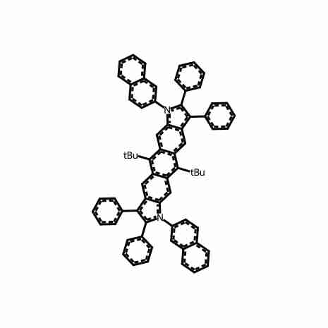 CC(C)(C)c1c2cc3c(-c4ccccc4)c(-c4ccccc4)n(-c4ccc5ccccc5c4)c3cc2c(C(C)(C)C)c2cc3c(-c4ccccc4)c(-c4ccccc4)n(-c4ccc5ccccc5c4)c3cc12